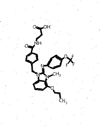 CCCOc1cccc2c1n(C)c(=Nc1ccc(OC(F)(F)F)cc1)n2Cc1ccc(C(=O)NCCC(=O)O)cc1